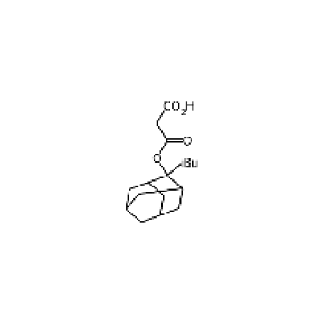 CCC(C)C1(OC(=O)CC(=O)O)C2CC3CC(C2)CC1C3